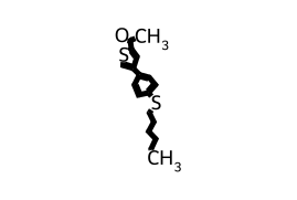 CCCCCCSc1ccc(-c2csc(C(C)=O)c2)cc1